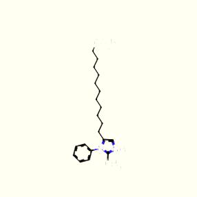 Cc1[nH]cc(CCCCCCCCCCCC(=O)O)[n+]1-c1ccccc1